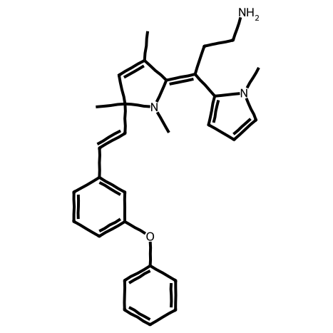 CC1=CC(C)(/C=C/c2cccc(Oc3ccccc3)c2)N(C)/C1=C(/CCN)c1cccn1C